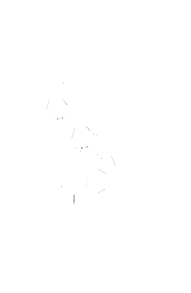 C[S+]([O-])c1cn(-c2ncc(-c3cc(N)ccc3F)cn2)c2cc(C(=O)N3CCOCC3)ccc12